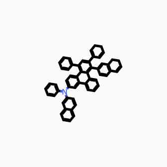 C1=CC(c2cc(-c3ccccc3)c3c4ccc(N(c5ccccc5)c5ccc6ccccc6c5)cc4c4ccccc4c3c2-c2ccc3c(c2)CCC=C3)=CCC1